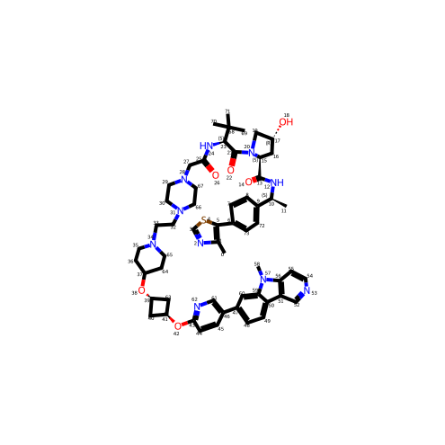 Cc1ncsc1-c1ccc([C@H](C)NC(=O)[C@@H]2C[C@@H](O)CN2C(=O)[C@@H](NC(=O)CN2CCN(CCN3CCC(O[C@H]4C[C@H](Oc5ccc(-c6ccc7c8cnccc8n(C)c7c6)cn5)C4)CC3)CC2)C(C)(C)C)cc1